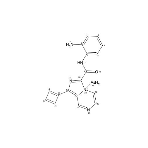 Nc1ccccc1NC(=O)C1=NC(C2=CC=C2)=C2C=NC=C[N+]12[AsH2]